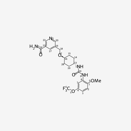 COc1ccc(OC(F)(F)F)cc1NC(=O)N[C@H]1CC[C@H](OCc2cncc(C(N)=O)c2)CC1